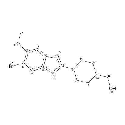 COc1cc2nc(C3CCC(CO)CC3)sc2cc1Br